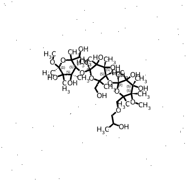 CO[C@@]1(C)OC(C)(CO)[C@@](C)(O[C@@]2(C)OC(C)(CO)[C@@](C)(O[C@@]3(C)OC(C)(COCC(C)O)[C@@](C)(OC)[C@@](C)(O)C3(C)O)[C@@](C)(O)C2(C)O)[C@@](C)(O)C1(C)O